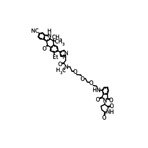 CCc1cc2c(cc1-c1cnn(CC(=O)N(C)CCOCCOCCOCCNc3cccc4c3C(=O)N(C3CCC(=O)NC3=O)C4=O)c1)C(C)(C)c1[nH]c3cc(C#N)ccc3c1C2=O